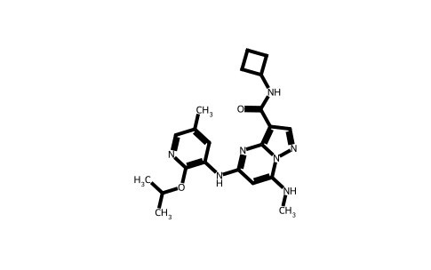 CNc1cc(Nc2cc(C)cnc2OC(C)C)nc2c(C(=O)NC3CCC3)cnn12